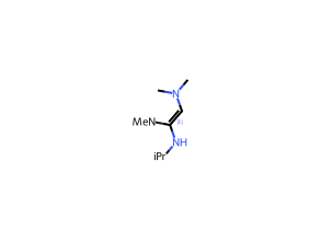 CN/C(=C\N(C)C)NC(C)C